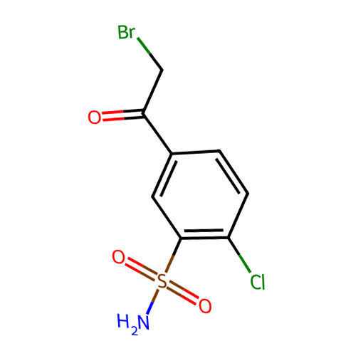 NS(=O)(=O)c1cc(C(=O)CBr)ccc1Cl